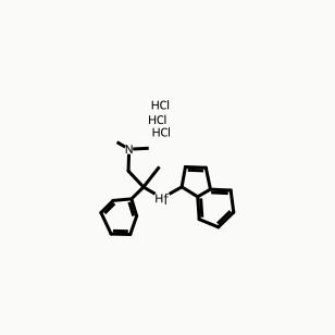 CN(C)C[C](C)([Hf][CH]1C=Cc2ccccc21)c1ccccc1.Cl.Cl.Cl